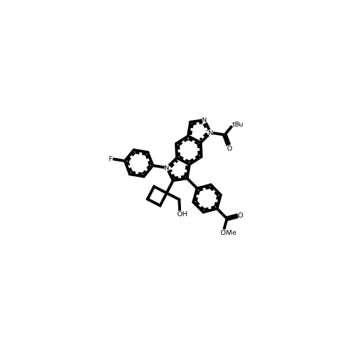 COC(=O)c1ccc(-c2c(C3(CO)CCC3)n(-c3ccc(F)cc3)c3cc4cnn(C(=O)C(C)(C)C)c4cc23)cc1